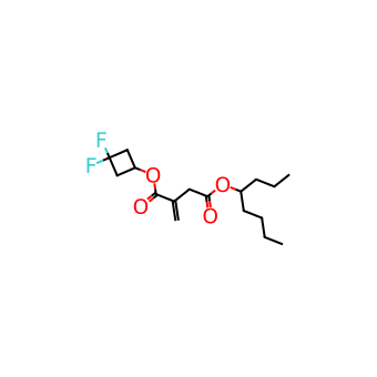 C=C(CC(=O)OC(CCC)CCCC)C(=O)OC1CC(F)(F)C1